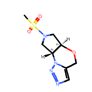 CS(=O)(=O)N1C[C@@H]2[C@@H](C1)OCc1cnnn12